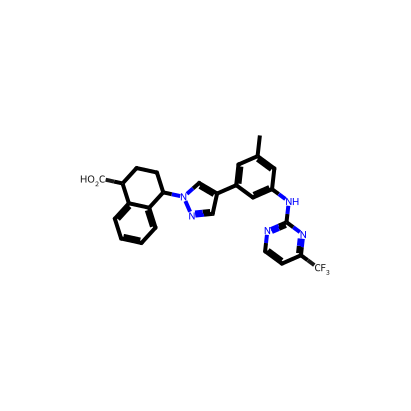 Cc1cc(Nc2nccc(C(F)(F)F)n2)cc(-c2cnn(C3CCC(C(=O)O)c4ccccc43)c2)c1